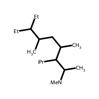 CCC(CC)C(C)CC(C)C(C(C)C)C(C)NC